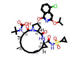 CC(C)Oc1cc2c(Cl)cccc2c(O[C@@H]2C[C@H]3C(=O)N[C@]4(C(=O)NS(=O)(=O)C5CC5)C[C@H]4/C=C\CC[C@@H](C)C[C@@H](C)[C@H](N(C(=O)O)C(C)(C)C)C(=O)N3C2)n1